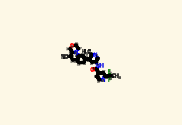 Cc1ncc(NC(=O)c2ccnc(C(C)(F)F)c2)cc1-c1ccc2c(c1)N1CCOCC1C(C#N)C2